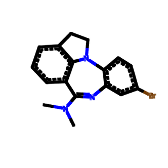 CN(C)C1=Nc2cc(Br)ccc2N2CCc3cccc1c32